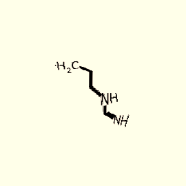 [CH2]CCNC=N